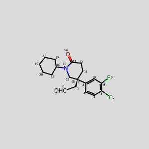 O=CC[C@]1(c2ccc(F)c(F)c2)CCC(=O)N(C2CCCCC2)C1